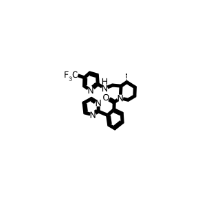 C[C@@H]1CCCN(C(=O)c2ccccc2-c2ncccn2)C1CNc1ccc(C(F)(F)F)cn1